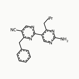 CC(C)Cc1nc(N)ncc1-c1ncc(C#N)c(Cc2ccccc2)n1